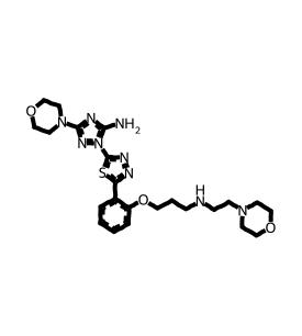 Nc1nc(N2CCOCC2)nn1-c1nnc(-c2ccccc2OCCCNCCN2CCOCC2)s1